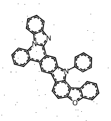 c1ccc(-n2c3cc4c(cc3c3ccc5oc6ccccc6c5c32)c2ccccc2n2c3ccccc3nc42)cc1